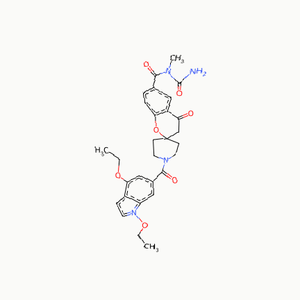 CCOc1cc(C(=O)N2CCC3(CC2)CC(=O)c2cc(C(=O)N(C)C(N)=O)ccc2O3)cc2c1ccn2OCC